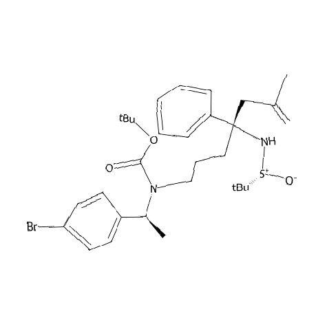 C=C(C)C[C@](CCCN(C(=O)OC(C)(C)C)[C@@H](C)c1ccc(Br)cc1)(N[S@+]([O-])C(C)(C)C)c1ccccc1